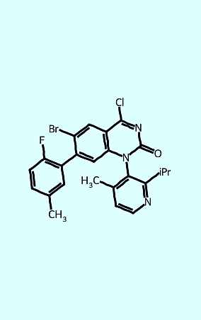 Cc1ccc(F)c(-c2cc3c(cc2Br)c(Cl)nc(=O)n3-c2c(C)ccnc2C(C)C)c1